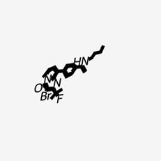 C=C(NCCCC)c1ccc(-c2cccn3c(=O)c(Br)c(C(C)(C)F)nc23)cc1